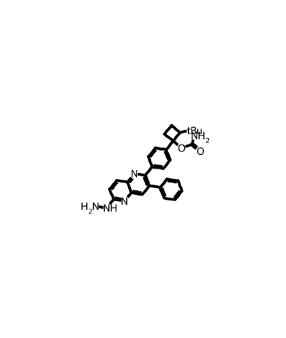 CC(C)(C)C1CCC1(OC(N)=O)c1ccc(-c2nc3ccc(NN)nc3cc2-c2ccccc2)cc1